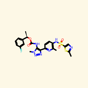 Cc1ncc(S(=O)(=O)Nc2ccc(-c3nnn(C)c3NC(=O)O[C@H](C)c3cccc(F)c3)nc2C)s1